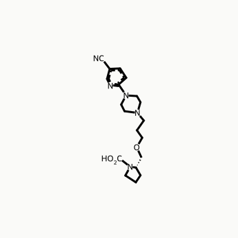 N#Cc1ccc(N2CCN(CCCOC[C@@H]3CCCN3C(=O)O)CC2)nc1